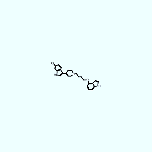 Clc1ccc2c(C3=CCN(CCCCOc4cccc5[nH]ccc45)CC3)c[nH]c2c1